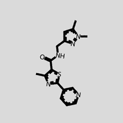 Cc1nc(-c2cccnc2)sc1C(=O)NCc1cc(C)n(C)n1